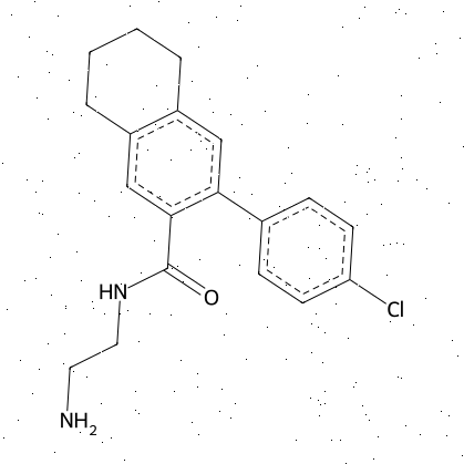 NCCNC(=O)c1cc2c(cc1-c1ccc(Cl)cc1)CCCC2